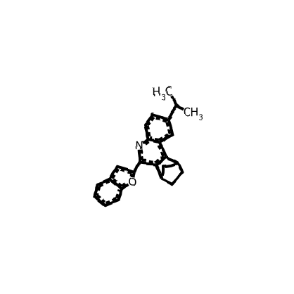 CC(C)c1ccc2nc(-c3cc4ccccc4o3)c3c(c2c1)C1CCC3C1